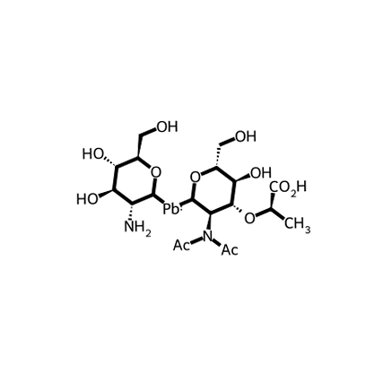 CC(=O)N(C(C)=O)[C@H]1[CH]([Pb][CH]2O[C@H](CO)[C@@H](O)[C@H](O)[C@H]2N)O[C@H](CO)[C@@H](O)[C@@H]1O[C@H](C)C(=O)O